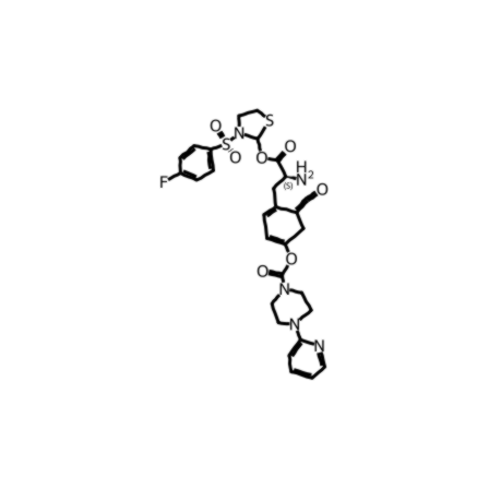 N[C@@H](CC1=CC=C(OC(=O)N2CCN(c3ccccn3)CC2)CC1=C=O)C(=O)OC1SCCN1S(=O)(=O)c1ccc(F)cc1